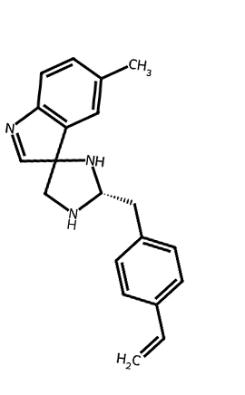 C=Cc1ccc(C[C@@H]2NCC3(C=Nc4ccc(C)cc43)N2)cc1